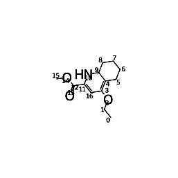 CCOC1=C2CCCCC2NC(C(=O)OC)=C1